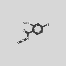 COc1cc(Cl)ccc1C(=O)N=C=S